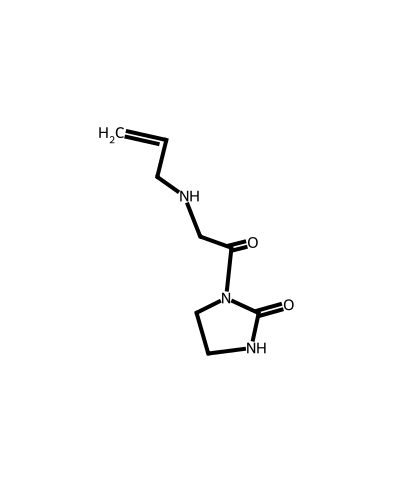 C=CCNCC(=O)N1CCNC1=O